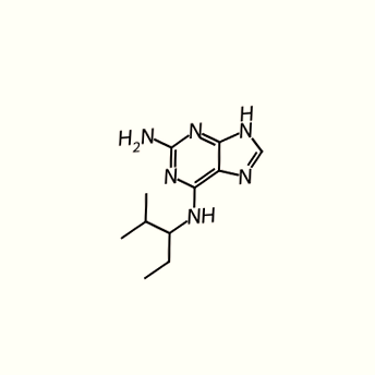 CCC(Nc1nc(N)nc2[nH]cnc12)C(C)C